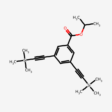 CC(C)OC(=O)c1cc(C#C[Si](C)(C)C)cc(C#C[Si](C)(C)C)c1